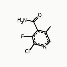 Cc1cnc(Cl)c(F)c1C(N)=O